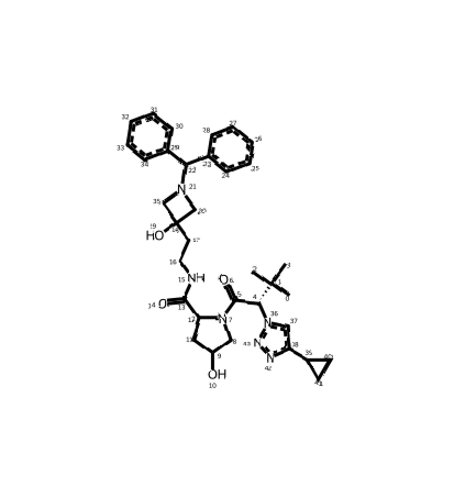 CC(C)(C)[C@@H](C(=O)N1CC(O)CC1C(=O)NCCC1(O)CN(C(c2ccccc2)c2ccccc2)C1)n1cc(C2CC2)nn1